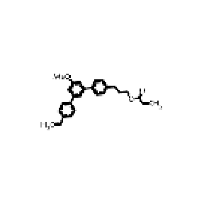 C=CC(=O)OCCCc1ccc(-c2cc(OC)cc(-c3ccc(C=C)cc3)c2)cc1